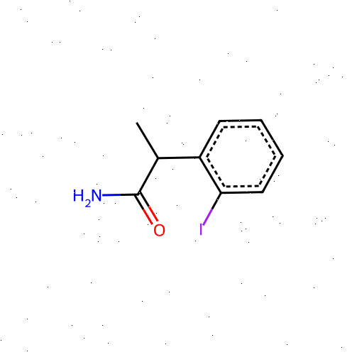 CC(C(N)=O)c1ccccc1I